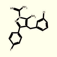 N=C(N)n1nc(-c2ccc(F)cc2)c(Cc2cccc(Cl)c2)c1N